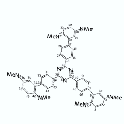 CNc1ccc(NC)c(-c2ccc(-c3nc(-c4ccc(-c5cc(NC)ccc5NC)cc4)nc(-c4ccc(-c5cc(NC)ccc5NC)cc4)n3)cc2)c1